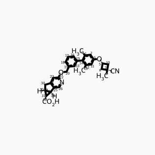 Cc1cc(O[C@H]2C[C@@](C)(C#N)C2)cc(C)c1-c1cccc(COc2cc3c(cn2)[C@@H]2[C@@H](C3)[C@@H]2C(=O)O)c1